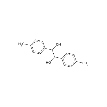 Cc1ccc(C(O)C(O)c2ccc(C)cc2)cc1